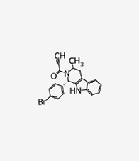 C#CC(=O)N1[C@@H](c2ccc(Br)cc2)c2[nH]c3ccccc3c2C[C@@H]1C